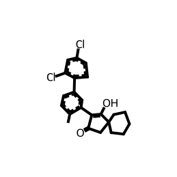 Cc1ccc(-c2ccc(Cl)cc2Cl)cc1C1=C(O)C2(CCCCC2)CC1=O